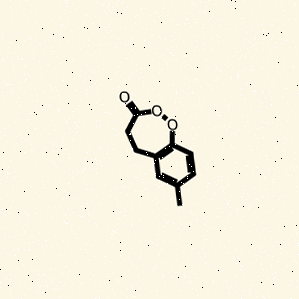 Cc1ccc2c(c1)CCC(=O)OO2